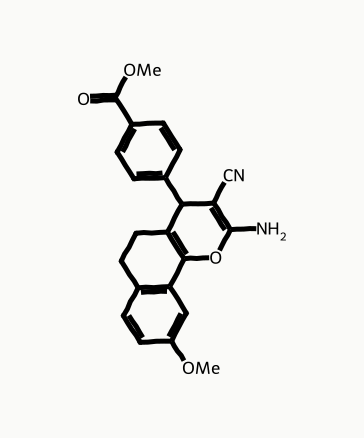 COC(=O)c1ccc(C2C(C#N)=C(N)OC3=C2CCc2ccc(OC)cc23)cc1